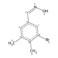 Cc1cc(/C=N\O)cc(Br)c1C